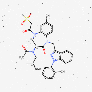 CN[C@@H](C)CN(C(=O)C(F)(F)F)[C@@H]1C(=O)N(Cc2nn(-c3ccccc3C#N)c3ccccc23)c2ccc(C#N)cc2N(C(=O)CS(C)(=O)=O)[C@H]1C